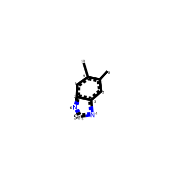 Cc1cc2n[se]nc2cc1C